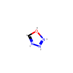 c1nnno1